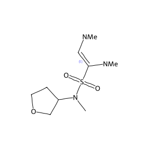 CN/C=C(\NC)S(=O)(=O)N(C)C1CCOC1